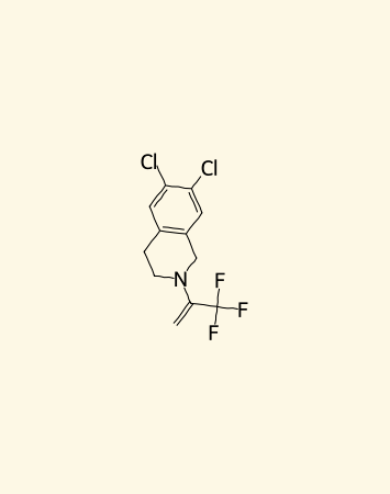 C=C(N1CCc2cc(Cl)c(Cl)cc2C1)C(F)(F)F